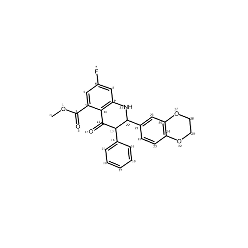 COC(=O)c1cc(F)cc2c1C(=O)C(c1ccccc1)C(c1ccc3c(c1)OCCO3)N2